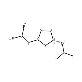 CC(C)O[C@H]1CCN(CC(F)F)C1